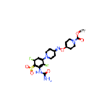 CC(C)OC(=O)N1CCC(ON=C2CCN(C3=CC(F)C(=S(=O)=O)C(NC(N)=O)=C3F)CC2)CC1